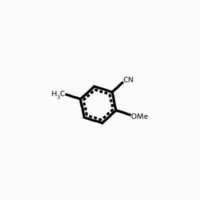 COc1c[c]c(C)cc1C#N